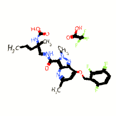 CCCC(C)(CNC(=O)c1c2nc(C)cc(OCc3c(F)ccc(F)c3F)c2nn1C)NC(=O)O.O=C(O)C(F)(F)F